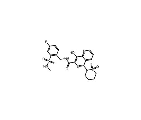 CNS(=O)(=O)c1cc(F)ccc1CNC(=O)c1nc(N2CCCCS2(=O)=O)c2cccnc2c1O